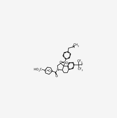 C=NCc1ccc(S(=O)(=O)C23CCN(C(=O)C45CCC(C(=O)O)(CC4)CC5)C2CCc2cc(C(F)(C(F)(F)F)C(F)(F)F)ccc23)cc1